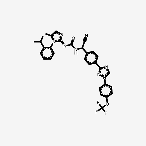 Cc1cs/c(=N\C(=O)NC(C#N)c2ccc(-c3ncn(-c4ccc(OC(F)(F)F)cc4)n3)cc2)n1-c1ccccc1C(C)C